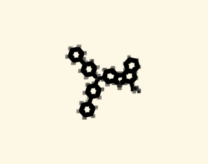 Bc1cc2ccccc2c2c1oc1cc(N(c3ccc(-c4ccccc4)cc3)c3ccc(-c4ccccc4)cc3)ccc12